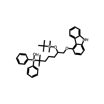 CC(C)(C)[Si](C)(C)OC(CCCC(C)(C)[Si](O)(c1ccccc1)c1ccccc1)COc1cccc2[nH]c3ccccc3c12